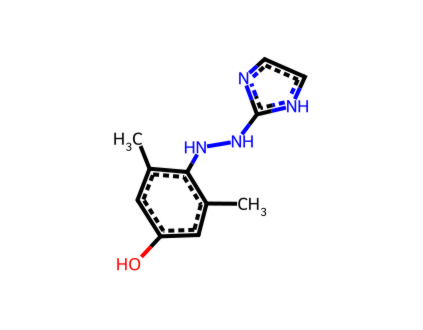 Cc1cc(O)cc(C)c1NNc1ncc[nH]1